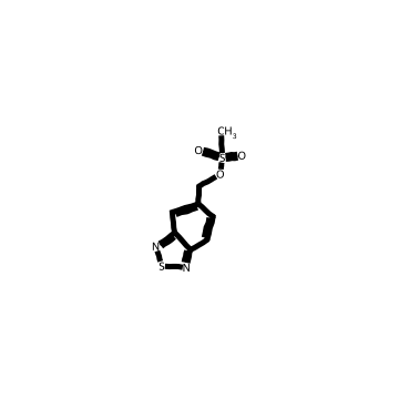 CS(=O)(=O)OCc1ccc2nsnc2c1